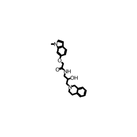 Cn1ccc2ccc(OCC(=O)NCC(O)CN3CCc4ccccc4C3)cc21